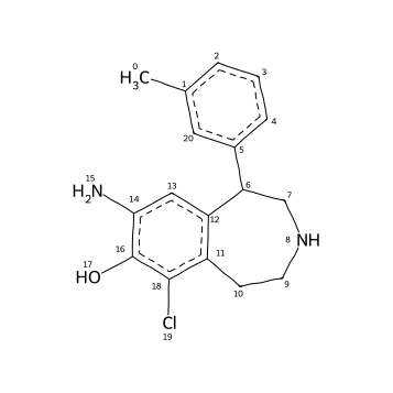 Cc1cccc(C2CNCCc3c2cc(N)c(O)c3Cl)c1